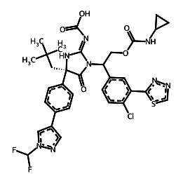 CC(C)(C)C[C@]1(c2ccc(-c3cnn(C(F)F)c3)cc2)NC(=NC(=O)O)N(C(COC(=O)NC2CC2)c2ccc(Cl)c(-c3nncs3)c2)C1=O